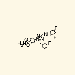 NS(=O)(=O)c1ccc(-n2nc(CNCc3cc(F)cc(F)c3)nc2Cc2cccc(F)c2)cc1